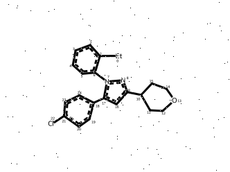 CCc1ccccc1-n1nc(C2CCOCC2)cc1-c1ccc(Cl)cc1